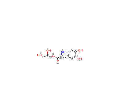 N[C@@H](Cc1ccc(O)c(O)c1)C(=O)OC[C@H](O)CO